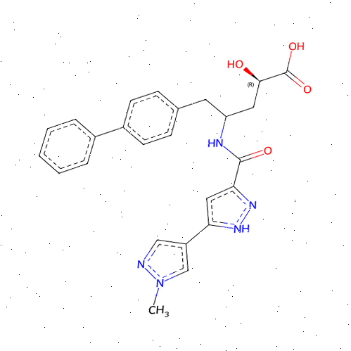 Cn1cc(-c2cc(C(=O)NC(Cc3ccc(-c4ccccc4)cc3)C[C@@H](O)C(=O)O)n[nH]2)cn1